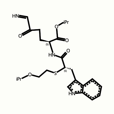 CC(C)OCCS[C@@H](Cc1c[nH]c2ccccc12)C(=O)N[C@@H](CCC(=O)C=N)C(=O)OC(C)C